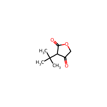 CC(C)(C)C1C(=O)COC1=O